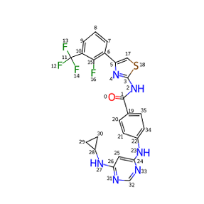 O=C(Nc1nc(-c2cccc(C(F)(F)F)c2F)cs1)c1ccc(Nc2cc(NC3CC3)ncn2)cc1